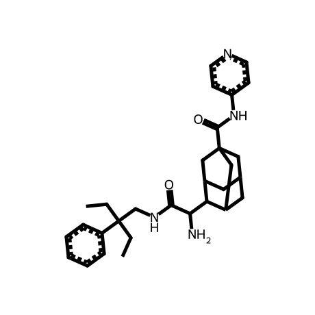 CCC(CC)(CNC(=O)C(N)C1C2CC3CC1CC(C(=O)Nc1ccncc1)(C3)C2)c1ccccc1